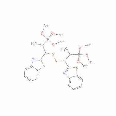 CCCO[Si](OCCC)(OCCC)C(C)C(SSC(c1nc2ccccc2s1)C(C)[Si](OCCC)(OCCC)OCCC)c1nc2ccccc2s1